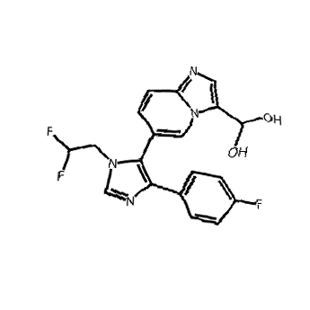 OC(O)c1cnc2ccc(-c3c(-c4ccc(F)cc4)ncn3CC(F)F)cn12